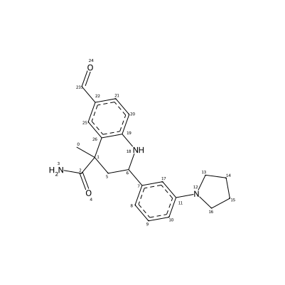 CC1(C(N)=O)CC(c2cccc(N3CCCC3)c2)Nc2ccc([C]=O)cc21